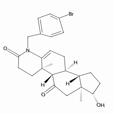 C[C@]12CC(=O)[C@H]3[C@@H](CC=C4N(Cc5ccc(Br)cc5)C(=O)CC[C@@]43C)[C@@H]1CC[C@@H]2O